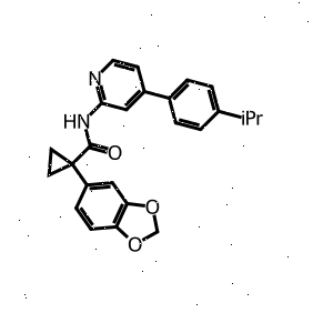 CC(C)c1ccc(-c2ccnc(NC(=O)C3(c4ccc5c(c4)OCO5)CC3)c2)cc1